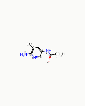 CCc1cc(NC(=O)C(=O)O)cnc1N